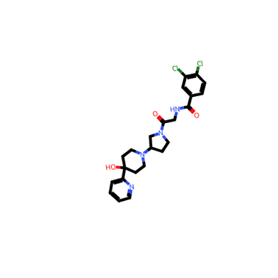 O=C(NCC(=O)N1CCC(N2CCC(O)(c3ccccn3)CC2)C1)c1ccc(Cl)c(Cl)c1